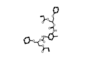 C=CC(=O)OCC(COc1ccccc1)OC(=O)Nc1ccc(C)c(NC(=O)OC(COC(=O)C=C)COc2ccccc2)c1